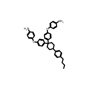 CCCCc1ccc(C2CCC(c3ccc(Oc4ccc(N)cc4)cc3)(c3ccc(Oc4ccc(N)cc4)cc3)CC2)cc1